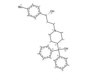 CC(C)(C)c1ccc([C@H](O)CCN2CCC(C(O)(c3ccccc3)c3ccccc3)CC2)cc1